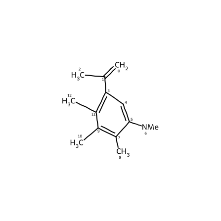 C=C(C)c1cc(NC)c(C)c(C)c1C